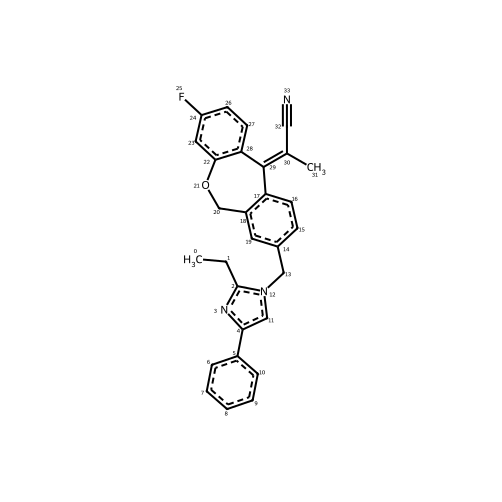 CCc1nc(-c2ccccc2)cn1Cc1ccc2c(c1)COc1cc(F)ccc1C2=C(C)C#N